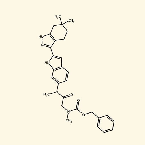 CN(CC(=O)N(C)c1ccc2cc(-c3n[nH]c4c3CCC(C)(C)C4)[nH]c2c1)C(=O)OCc1ccccc1